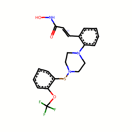 O=C(/C=C/c1ccccc1N1CCN(Sc2ccccc2OC(F)(F)F)CC1)NO